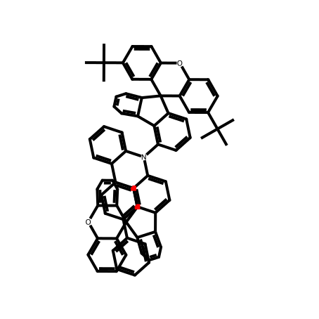 CC(C)(C)c1ccc2c(c1)C1(c3cc(C(C)(C)C)ccc3O2)c2ccccc2-c2c(N(c3ccc4c(c3)C3(c5ccccc5Oc5ccccc53)c3ccccc3-4)c3ccccc3-c3ccc(-c4ccccc4)cc3)cccc21